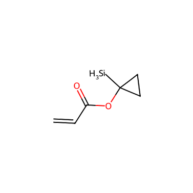 C=CC(=O)OC1([SiH3])CC1